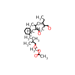 CC(C)C(C)C=O.CC(C)C=O.CC1CCCCC1.CCCC(C)C=O.COC(C)=O